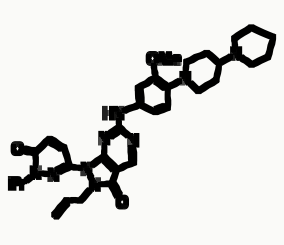 C=CCn1c(=O)c2cnc(Nc3ccc(N4CCC(N5CCCCC5)CC4)c(OC)c3)nc2n1-c1ccc(=O)n(C(C)C)n1